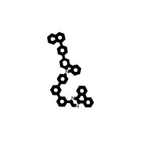 C1=CC(c2ccc(-c3cccc4ccccc34)cc2)Cc2c1n(-c1ccc(-c3cccc(-c4cccc(-c5cnc6c7ccccc7c7ccccc7c6n5)c4)c3)cc1)c1ccccc21